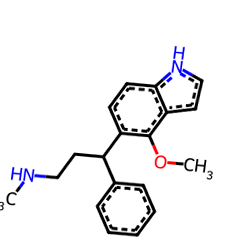 CNCCC(c1ccccc1)c1ccc2[nH]ccc2c1OC